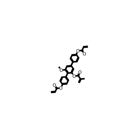 C=CC(=O)Oc1ccc(-c2cc(OC)c(-c3ccc(OC(=O)C=C)cc3)c(OC(=O)C(=C)C)c2)cc1